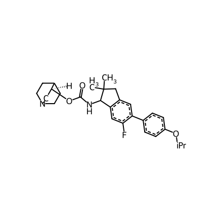 CC(C)Oc1ccc(-c2cc3c(cc2F)C(NC(=O)O[C@H]2CN4CCC2CC4)C(C)(C)C3)cc1